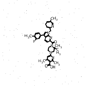 CC1=CCC=C(Cn2cc(-c3ccc(C)c(F)c3)c3ccc(C(=O)N4CCN(c5cc(C)c(C(=O)O)c(C)n5)CC4(C)C)nc32)N=C1